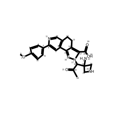 COc1ccc(-c2cc3c(cn2)CCc2c-3nn(C(C(C)=O)C3(N)CNC3)c2C(=O)O)cc1